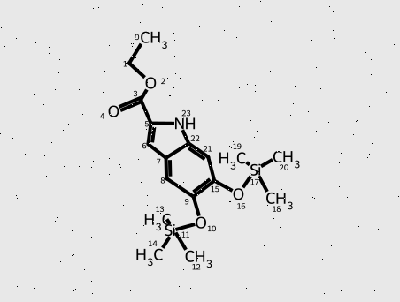 CCOC(=O)c1cc2cc(O[Si](C)(C)C)c(O[Si](C)(C)C)cc2[nH]1